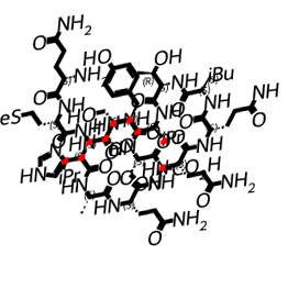 CC[C@H](C)[C@H](NC(=O)[C@H](CCC(N)=O)NC(=O)[C@H](CCC(N)=O)NC(=O)[C@H](CO)NC(=O)[C@H](Cc1ccc(O)cc1)NC(=O)[C@H](Cc1c[nH]cn1)NC(=O)[C@H](CCSC)NC(=O)[C@@H](N)CCC(N)=O)C(=O)N[C@H](C(=O)N[C@H](C(=O)N[C@@H](CO)C(=O)N[C@@H](CC(C)C)C(=O)N[C@@H](C)C(=O)N[C@@H](CCC(N)=O)C(=O)NCC(=O)O)C(C)C)[C@@H](C)O